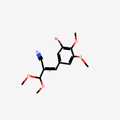 COc1cc(/C=C(\C#N)C(OC)OC)cc(Br)c1OC